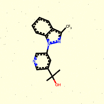 CC(C)(O)c1cncc(-n2nc(C(F)(F)F)c3ccccc32)c1